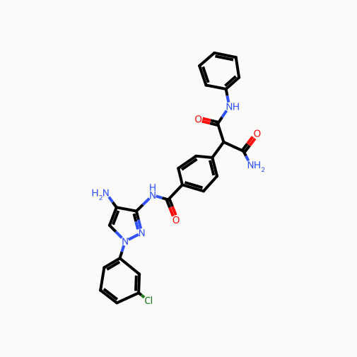 NC(=O)C(C(=O)Nc1ccccc1)c1ccc(C(=O)Nc2nn(-c3cccc(Cl)c3)cc2N)cc1